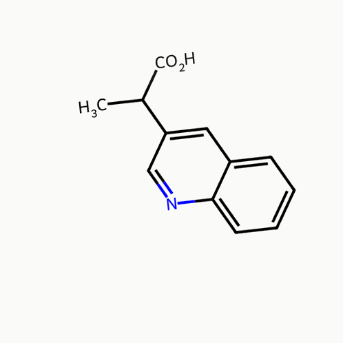 CC(C(=O)O)c1cnc2ccccc2c1